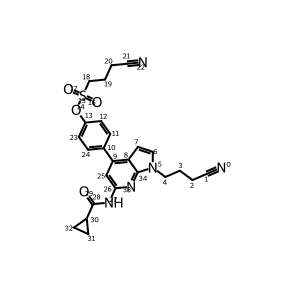 N#CCCCn1ccc2c(-c3ccc(OS(=O)(=O)CCCC#N)cc3)cc(NC(=O)C3CC3)nc21